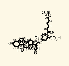 CCC(=O)O[C@@]1(C(=O)COC(=O)CC(NC(=O)CCCCCO[N+](=O)[O-])C(=O)O)[C@@H](C)C[C@H]2[C@@H]3CCC4=CC(=O)C=C[C@]4(C)[C@@]3(Cl)[C@@H](O)C[C@@]21C